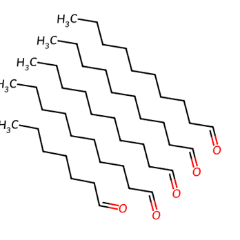 CCCCCCC=O.CCCCCCCCCC=O.CCCCCCCCCC=O.CCCCCCCCCC=O.CCCCCCCCCC=O